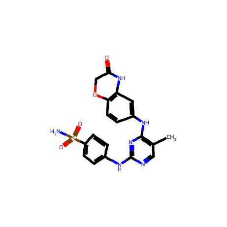 Cc1cnc(Nc2ccc(S(N)(=O)=O)cc2)nc1Nc1ccc2c(c1)NC(=O)CO2